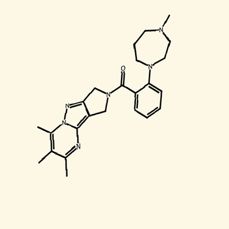 Cc1nc2c3c(nn2c(C)c1C)CN(C(=O)c1ccccc1N1CCCN(C)CC1)C3